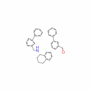 O=Cc1cccc(-c2ccccc2)c1.c1ccc(-c2cccc(CN[C@H]3CCCc4ccccc43)c2)cc1